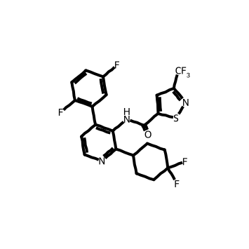 O=C(Nc1c(-c2cc(F)ccc2F)ccnc1C1CCC(F)(F)CC1)c1cc(C(F)(F)F)ns1